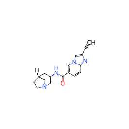 C#Cc1cn2cc(C(=O)N[C@@H]3C[C@H]4CCN(C4)C3)ccc2n1